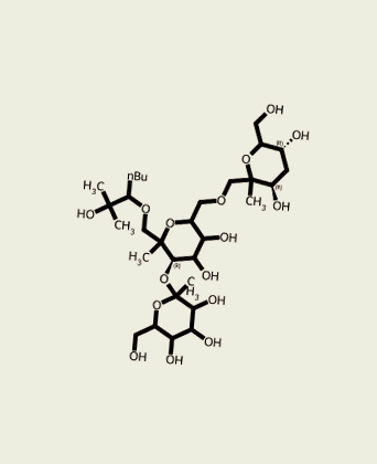 CCCCC(OCC1(C)OC(COCC2(C)OC(CO)[C@H](O)C[C@H]2O)C(O)C(O)[C@H]1OC1(C)OC(CO)C(O)C(O)C1O)C(C)(C)O